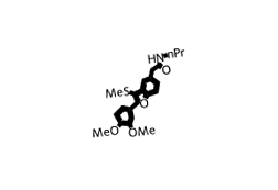 CCCNC(=O)Cc1ccc2oc(-c3ccc(OC)c(OC)c3)c(SC)c2c1